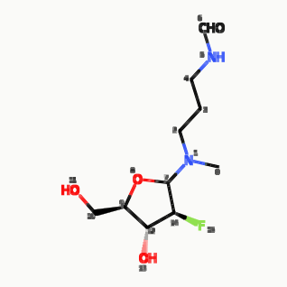 CN(CCCNC=O)C1O[C@H](CO)[C@@H](O)[C@@H]1F